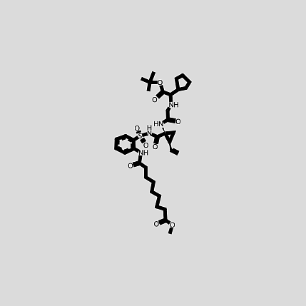 C=C[C@@H]1C[C@]1(NC(=O)CNC(C(=O)OC(C)(C)C)C1CCCC1)C(=O)NS(=O)(=O)c1ccccc1NC(=O)CCCCCCCC(=O)OC